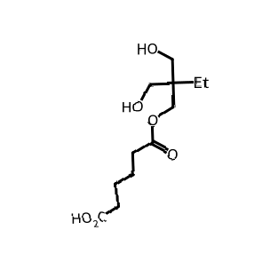 CCC(CO)(CO)COC(=O)CCCCC(=O)O